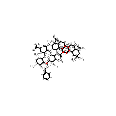 CC(=O)C1O[C@@H](O[C@H]2CCC3(C)C4CC=C5C6CC(C)(C)CC[C@]6(C(C)=O)C(O)C[C@@]5(C)[C@@]4(C)CC[C@H]3[C@@]2(C)C=O)C(O[C@@H]2OC(COCc3ccccc3)[C@H](C)[C@H](C)C2OC(=O)c2ccccc2)[C@@H](O[C@@H]2OC[C@@H](C)[C@H](C)C2C)[C@@H]1C